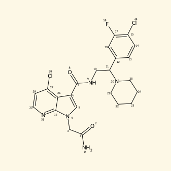 NC(=O)Cn1cc(C(=O)NCC(c2ccc(Cl)c(F)c2)N2CCCCC2)c2c(Cl)ccnc21